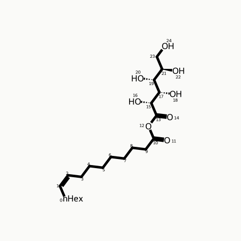 CCCCCC/C=C\CCCCCCCC(=O)OC(=O)[C@H](O)[C@@H](O)[C@H](O)[C@H](O)CO